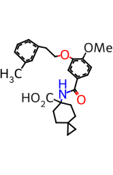 COc1ccc(C(=O)NC2(C(=O)O)CCC3(CC3)CC2)cc1OCCc1cccc(C)c1